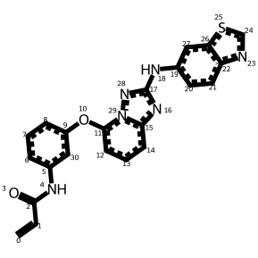 C=CC(=O)Nc1cccc(Oc2cccc3nc(Nc4ccc5ncsc5c4)nn23)c1